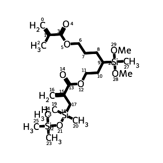 C=C(C)C(=O)OCCCC(CCOC(=O)C(=C)C[Si](C)(C)O[Si](C)(C)C)[Si](C)(OC)OC